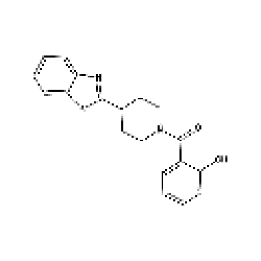 O=C(c1ccccc1O)N1CCC(c2nc3ccccc3s2)CC1